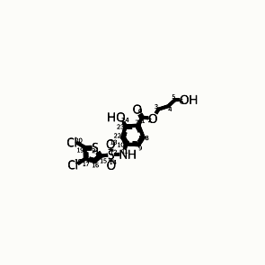 O=C(OCCCO)c1ccc(NS(=O)(=O)c2cc(Cl)c(Cl)s2)cc1O